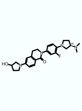 CN(C)[C@@H]1CCN(c2ccc(N3CCc4cc(N5CCC(O)C5)ccc4C3=O)cc2F)C1